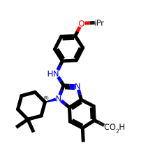 Cc1cc2c(cc1C(=O)O)nc(Nc1ccc(OC(C)C)cc1)n2[C@@H]1CCCC(C)(C)C1